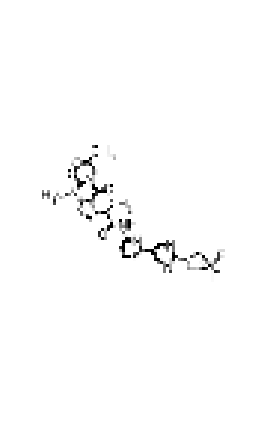 CC(=O)Cn1c(=O)c2c(ncn2[C@@H](C)C(=O)Nc2cccc(-c3cnc(N4CC5C(C4)C5(F)F)nc3)n2)n(C)c1=O